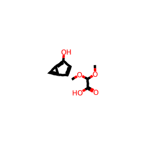 COC(OC)C(=O)O.Oc1ccc2cc1-2